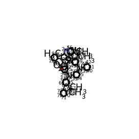 C/C=C\C1=C(C)C2(c3ccccc3OC3=CC=CCC32)c2c1cccc2-c1cccc(N(c2cccc(N(c3ccccc3)c3ccc4c(c3)C(C)(C)c3ccccc3-4)c2)c2ccc3c(c2)C(C)(C)c2ccccc2-3)c1